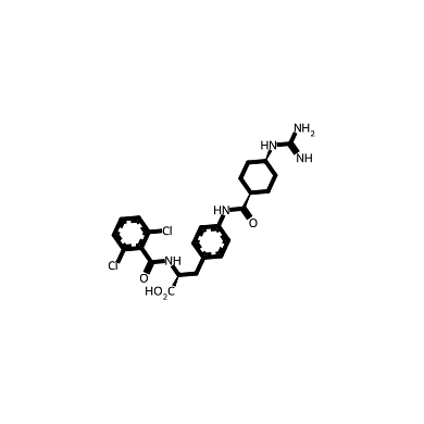 N=C(N)N[C@H]1CC[C@@H](C(=O)Nc2ccc(C[C@H](NC(=O)c3c(Cl)cccc3Cl)C(=O)O)cc2)CC1